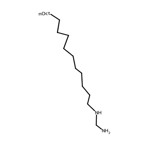 CCCCCCCCCCCCCCCCCCNCN